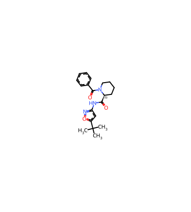 CC(C)(C)c1cc(NC(=O)[C@@H]2CCCCN2C(=O)c2ccccc2)no1